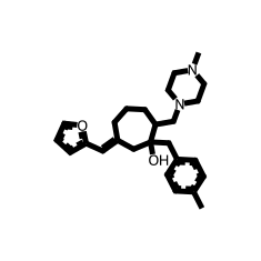 Cc1ccc(CC2(O)CC(=Cc3ccco3)CCCC2CN2CCN(C)CC2)cc1